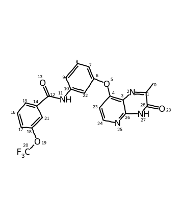 Cc1nc2c(Oc3cccc(NC(=O)c4cccc(OC(F)(F)F)c4)c3)ccnc2[nH]c1=O